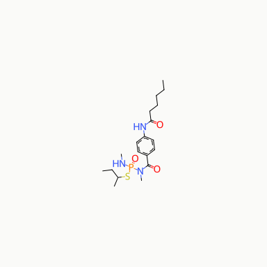 CCCCCC(=O)Nc1ccc(C(=O)N(C)P(=O)(NC)SC(C)CC)cc1